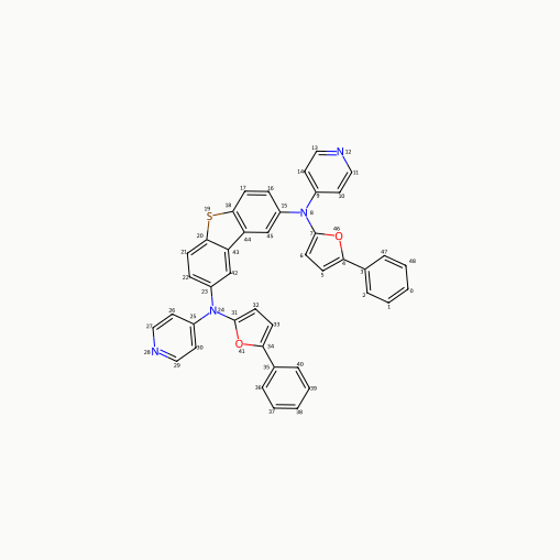 c1ccc(-c2ccc(N(c3ccncc3)c3ccc4sc5ccc(N(c6ccncc6)c6ccc(-c7ccccc7)o6)cc5c4c3)o2)cc1